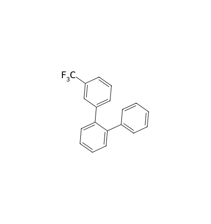 FC(F)(F)c1cccc(-c2ccccc2-c2ccccc2)c1